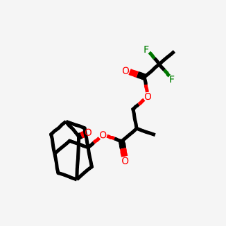 CC(COC(=O)C(C)(F)F)C(=O)OC12CC3CC(C1)C(=O)C(C3)C2